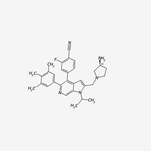 Cc1cc(-c2ncc3c(cc(CN4CC[C@H](N)C4)n3C(C)C)c2-c2ccc(C#N)c(F)c2)cc(C)c1C